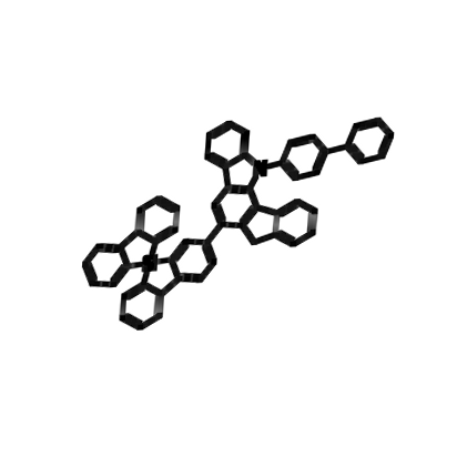 c1ccc(-c2ccc(-n3c4ccccc4c4cc(-c5ccc6c(c5)[Si]5(c7ccccc7-c7ccccc75)c5ccccc5-6)c5c(c43)-c3ccccc3C5)cc2)cc1